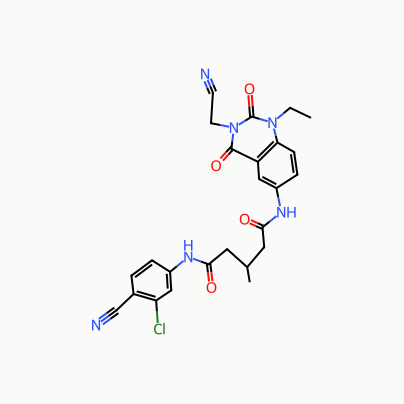 CCn1c(=O)n(CC#N)c(=O)c2cc(NC(=O)CC(C)CC(=O)Nc3ccc(C#N)c(Cl)c3)ccc21